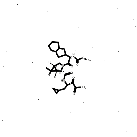 CC(C)(C)OC(=O)N[C@H](C(=O)N1C[C@@H]2[C@H]([C@H]1C(=O)NC(CC1CC1)C(=O)C(N)=O)C2(C)C)C1CC2CCCCC2C1